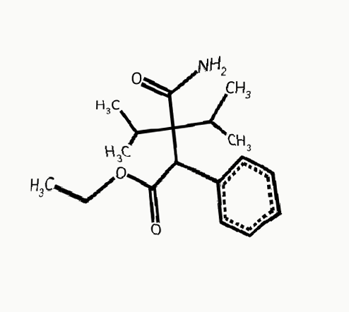 CCOC(=O)C(c1ccccc1)C(C(N)=O)(C(C)C)C(C)C